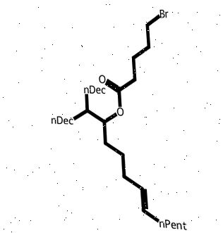 CCCCCC=CCCCC(OC(=O)CCCCBr)C(CCCCCCCCCC)CCCCCCCCCC